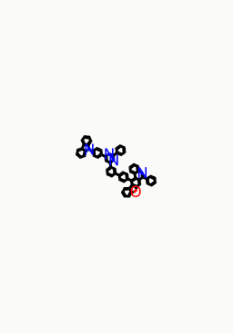 c1ccc(-c2nc(-c3ccc(-n4c5ccccc5c5ccccc54)cc3)cc(-c3cccc(-c4ccc(-c5c6c(cc7c(-c8ccccc8)nc8ccccc8c57)oc5ccccc56)cc4)c3)n2)cc1